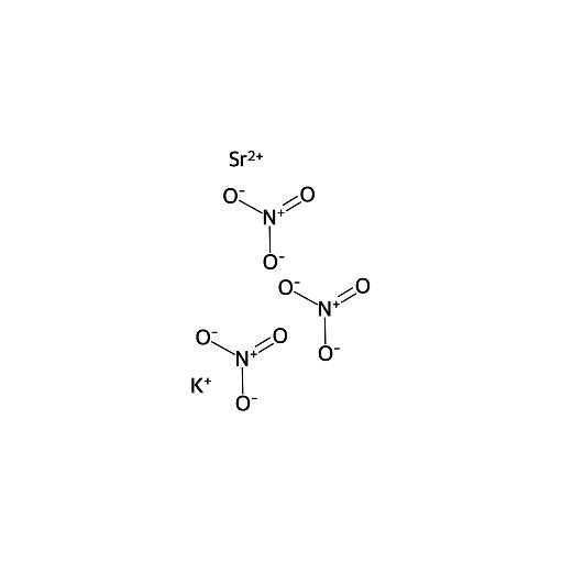 O=[N+]([O-])[O-].O=[N+]([O-])[O-].O=[N+]([O-])[O-].[K+].[Sr+2]